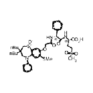 CCCCC1(CCCC)CN(c2ccccc2)c2cc(SC)c(OCC(=O)N[C@@H](C(=O)N[C@@H](CCS(C)(=O)=O)C(=O)O)c3ccccc3)cc2[S+]([O-])C1